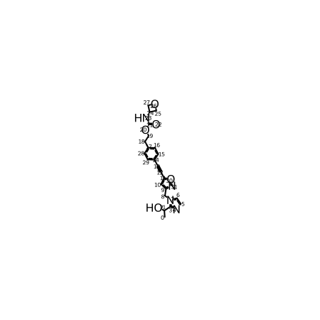 CC(O)c1nccn1Cc1cc(C#Cc2ccc(CCOC(=O)NC3COC3)cc2)on1